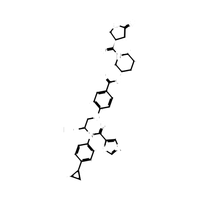 CC(COc1ccc(C(=O)O[C@H]2CCCN(C(=O)[C@H]3COC(=O)C3)C2)cc1)N(C(=O)c1cncs1)c1ccc(C2CC2)cc1